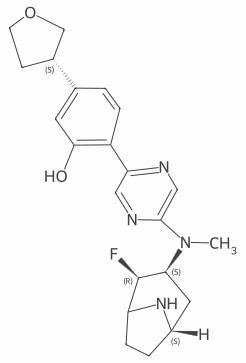 CN(c1cnc(-c2ccc([C@@H]3CCOC3)cc2O)cn1)[C@H]1C[C@@H]2CCC(N2)[C@H]1F